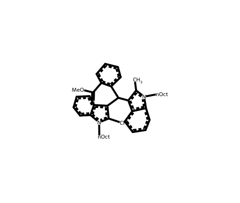 CCCCCCCCn1c(C)c(C(c2ccccc2C(=O)OC)c2c(C)n(CCCCCCCC)c3ccccc23)c2ccccc21